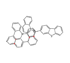 c1ccc(-c2ccccc2N(c2ccc(-c3ccc4c(c3)sc3ccccc34)cc2)c2ccccc2-c2cccc3oc4c5ccccc5ccc4c23)cc1